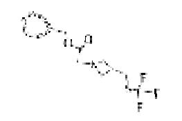 O=C(CN1CC(CSC(F)(F)F)C1)OCc1ccccc1